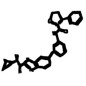 O=C(Nc1nc2ccc(-c3cccc(NC(=O)N4OCC[C@H]4c4ccccc4)c3)cc2s1)C1CC1